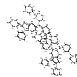 c1ccc(-c2cccc(N(c3ccc4c(c3)C(c3ccccc3)(c3ccccc3)c3cc(N(c5cccc(-c6ccccc6)c5)c5ccc6c(-c7ccccc7)c(-c7ccccc7)sc6c5)ccc3-4)c3ccc4c(-c5ccccc5)c(-c5ccccc5)sc4c3)c2)cc1